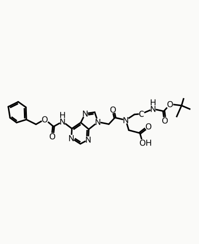 CC(C)(C)OC(=O)NCCN(CC(=O)O)C(=O)Cn1cnc2c(NC(=O)OCc3ccccc3)ncnc21